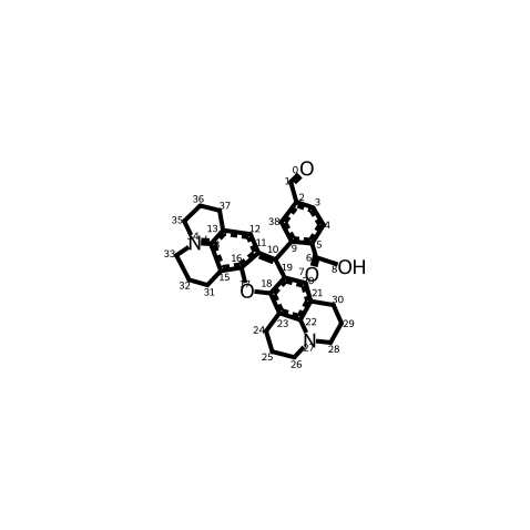 O=Cc1ccc(C(=O)O)c(C2=c3cc4c5c(c3Oc3c2cc2c6c3CCCN6CCC2)CCC[N+]=5CCC4)c1